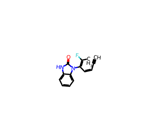 C#C/C=C\C(=C(/C)F)n1c(=O)[nH]c2ccccc21